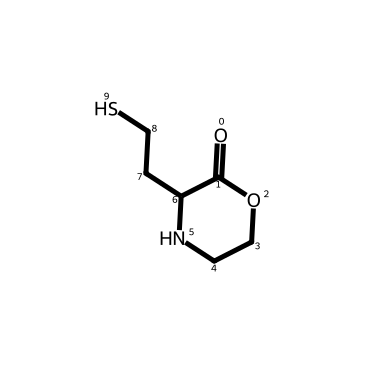 O=C1OCCNC1CCS